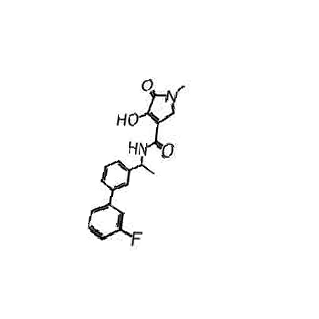 CC(NC(=O)C1=C(O)C(=O)N(C)C1)c1cccc(-c2cccc(F)c2)c1